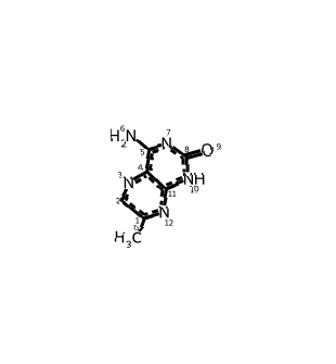 Cc1cnc2c(N)nc(=O)[nH]c2n1